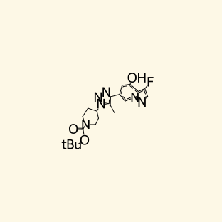 Cc1c(-c2cc(O)c3c(F)cnn3c2)nnn1C1CCN(C(=O)OC(C)(C)C)CC1